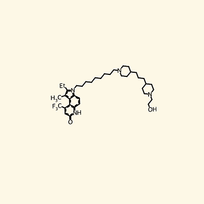 CCc1c(C)c2c3c(C(F)(F)F)cc(=O)[nH]c3ccc2n1CCCCCCCCCN1CCC(CCCC2CCN(CCO)CC2)CC1